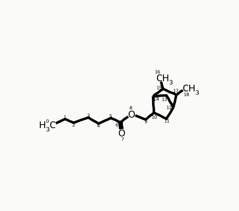 CCCCCCC(=O)OCC1CC2CC1C(C)C2C